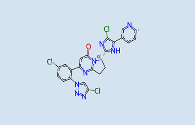 O=c1cc(-c2cc(Cl)ccc2-n2cc(Cl)nn2)nc2n1[C@H](c1nc(Cl)c(-c3cc[c]nc3)[nH]1)CC2